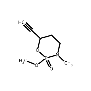 C#CC1CCN(C)P(=O)(OC)O1